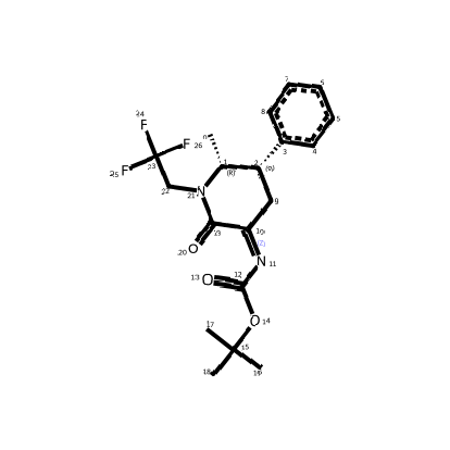 C[C@@H]1[C@H](c2ccccc2)C/C(=N/C(=O)OC(C)(C)C)C(=O)N1CC(F)(F)F